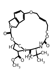 COC(=O)C1C[C@@H]2CN1C(=O)[C@H](C(C)(C)C)NC(=O)OCC/C=C/COc1ccc3c(c1)CN(C3)C(=O)O2